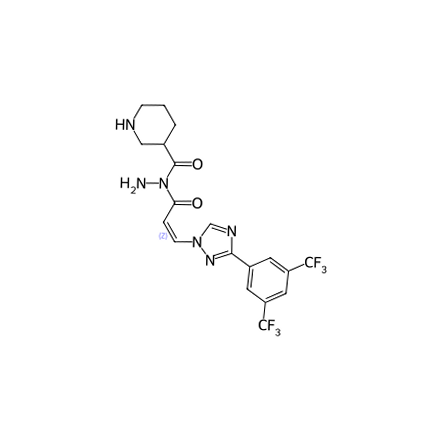 NN(C(=O)/C=C\n1cnc(-c2cc(C(F)(F)F)cc(C(F)(F)F)c2)n1)C(=O)C1CCCNC1